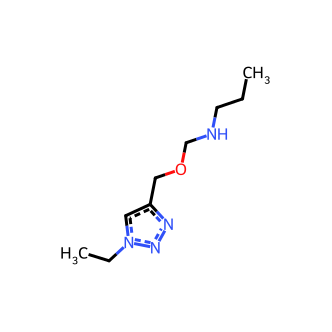 CCCNCOCc1cn(CC)nn1